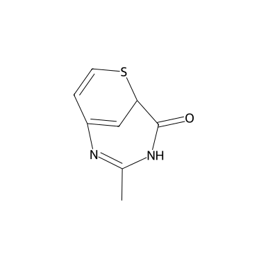 CC1=NC2=CC(SC=C2)C(=O)N1